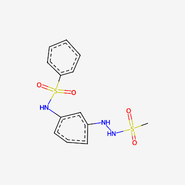 CS(=O)(=O)NNc1cccc(NS(=O)(=O)c2ccccc2)c1